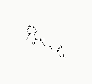 Cc1ccccc1C(=O)NCCCC(N)=O